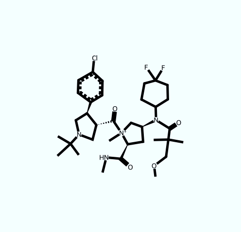 CNC(=O)[C@@H]1C[C@H](N(C(=O)C(C)(C)COC)C2CCC(F)(F)CC2)C[N+]1(C)C(=O)[C@@H]1CN(C(C)(C)C)C[C@H]1c1ccc(Cl)cc1